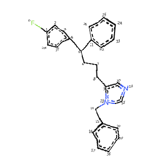 Fc1ccc(C(CCCc2cncn2Cc2ccccc2)c2ccccc2)cc1